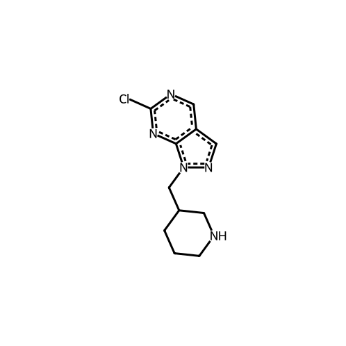 Clc1ncc2cnn(CC3CCCNC3)c2n1